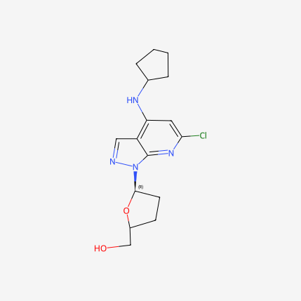 OCC1CC[C@H](n2ncc3c(NC4CCCC4)cc(Cl)nc32)O1